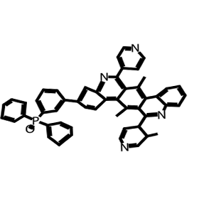 Cc1c2c(C3C=CN=CC3C)nc3ccccc3c2c(C)c2c(-c3ccncc3)nc3cc(-c4cccc(P(=O)(c5ccccc5)c5ccccc5)c4)ccc3c12